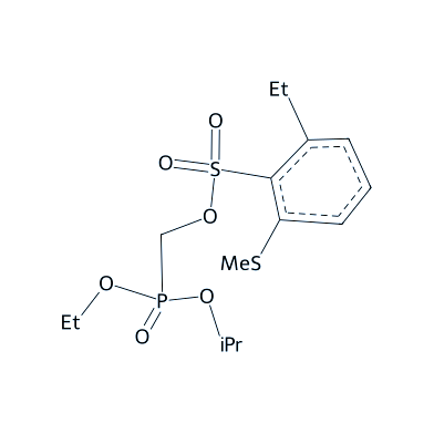 CCOP(=O)(COS(=O)(=O)c1c(CC)cccc1SC)OC(C)C